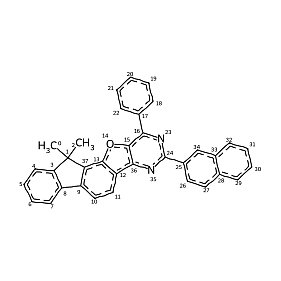 CC1(C)c2ccccc2-c2ccc3c(oc4c(-c5ccccc5)nc(-c5ccc6ccccc6c5)nc43)c21